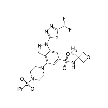 CC(C)S(=O)(=O)N1CCN(c2cc(S(=O)(=O)NC3(C)COC3)cc3c2cnn3-c2nnc(C(F)F)s2)CC1